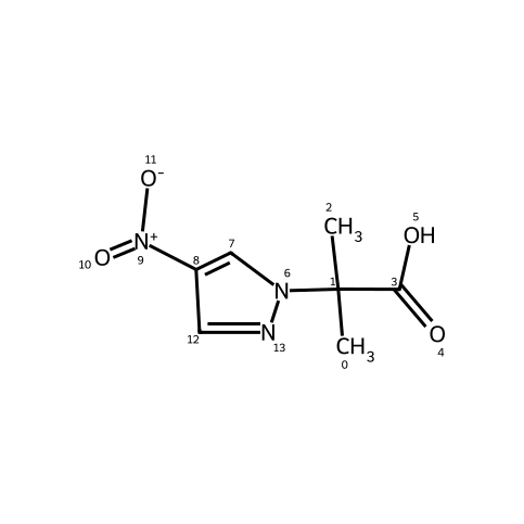 CC(C)(C(=O)O)n1cc([N+](=O)[O-])cn1